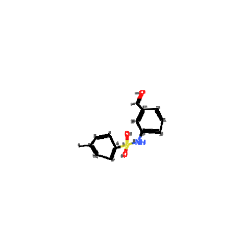 Cc1ccc(S(=O)(=O)Nc2cccc(C=O)c2)cc1